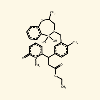 CCOC(=O)CC(c1ccc(C)c(CN2CC(C)Oc3ccccc3S2(O)O)c1)c1cccc(=O)n1C